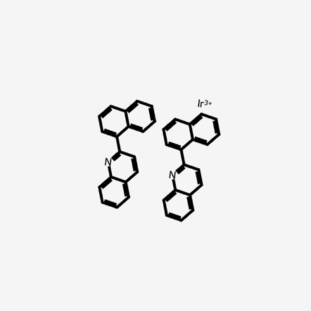 [Ir+3].c1ccc2nc(-c3cccc4ccccc34)ccc2c1.c1ccc2nc(-c3cccc4ccccc34)ccc2c1